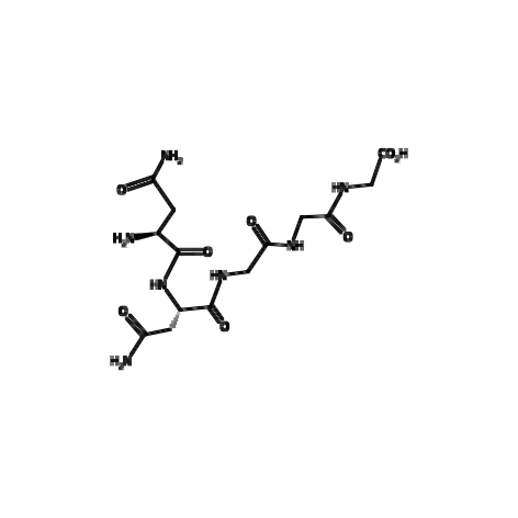 NC(=O)C[C@H](NC(=O)[C@@H](N)CC(N)=O)C(=O)NCC(=O)NCC(=O)NCC(=O)O